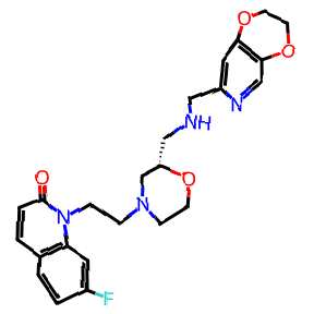 O=c1ccc2ccc(F)cc2n1CCN1CCO[C@@H](CNCc2cc3c(cn2)OCCO3)C1